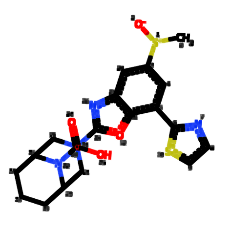 C[S+]([O-])c1cc(-c2nccs2)c2oc(N3CC4CCCC(C3)N4C(=O)O)nc2c1